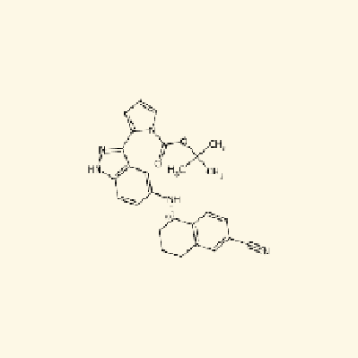 CC(C)(C)OC(=O)n1cccc1-c1n[nH]c2ccc(N[C@H]3CCCc4cc(C#N)ccc43)cc12